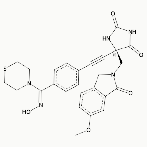 COc1ccc2c(c1)C(=O)N(C[C@@]1(C#Cc3ccc(C(=NO)N4CCSCC4)cc3)NC(=O)NC1=O)C2